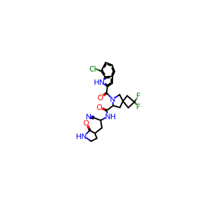 N#CC(CC1CCNC1=O)NC(=O)C1CC2(CN1C(=O)c1cc3cccc(Cl)c3[nH]1)CC(F)(F)C2